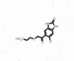 O=C(O)CCSCC(=O)c1cc2[nH]c(=O)[nH]c2cc1Cl